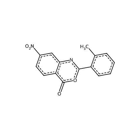 Cc1ccccc1-c1nc2cc([N+](=O)[O-])ccc2c(=O)o1